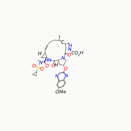 COc1ccc2nc(O[C@@H]3C[C@H]4C(=O)N[C@]5(C(=O)N(C)S(=O)(=O)C6CC6)C[C@H]5/C=C\CC[C@@H](C)C[C@@H](C)[C@H](NC(=O)O)C(=O)N4C3)cnc2c1